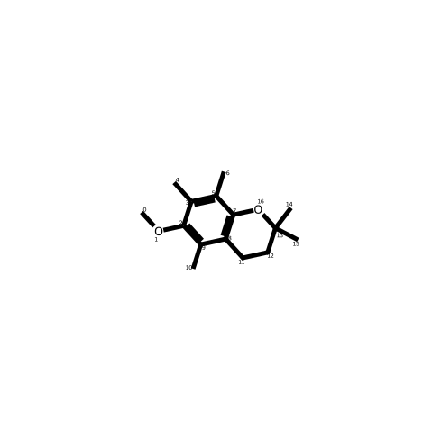 COc1c(C)c(C)c2c(c1C)CCC(C)(C)O2